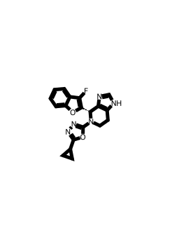 Fc1c([C@@H]2c3nc[nH]c3CCN2c2nnc(C3CC3)o2)oc2ccccc12